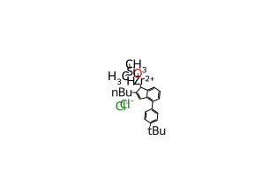 CCCCC1=Cc2c(-c3ccc(C(C)(C)C)cc3)cccc2[CH]1[Zr+2][O][SiH](C)C.[Cl-].[Cl-]